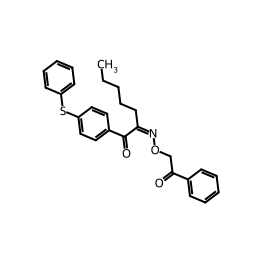 CCCCCC(=NOCC(=O)c1ccccc1)C(=O)c1ccc(Sc2ccccc2)cc1